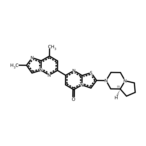 Cc1cn2nc(-c3cc(=O)n4cc(N5CCN6CCC[C@H]6C5)sc4n3)cc(C)c2n1